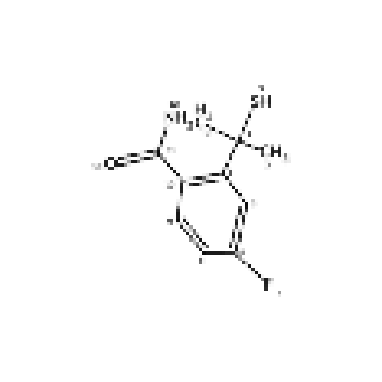 CC(C)(S)c1cc(F)ccc1C(N)=O